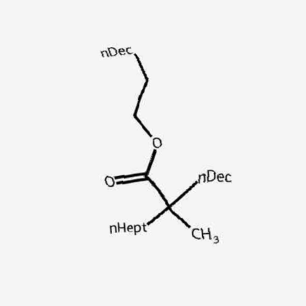 CCCCCCCCCCCCOC(=O)C(C)(CCCCCCC)CCCCCCCCCC